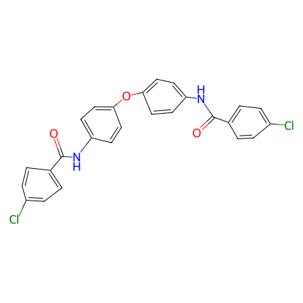 O=C(Nc1ccc(Oc2ccc(NC(=O)c3ccc(Cl)cc3)cc2)cc1)c1ccc(Cl)cc1